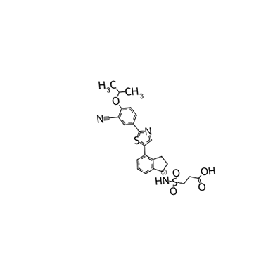 CC(C)Oc1ccc(-c2ncc(-c3cccc4c3CC[C@@H]4NS(=O)(=O)CCC(=O)O)s2)cc1C#N